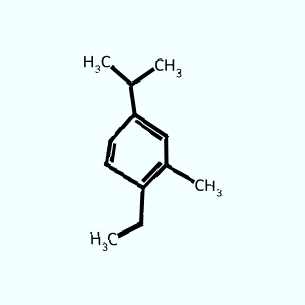 CCc1ccc(C(C)C)cc1C